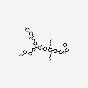 C/C=C/c1cccc(-c2cccc(-c3ccc(N(c4ccc(-c5ccc6c(c5)C(C)(C)c5cc(-c7ccc(C)cc7)ccc5-6)cc4)c4ccc(-c5ccc(-c6cc(CCCCCC)c(-c7ccc(-c8ccc(N(C)c9cccc(-c%10ccccc%10)c9)cc8C)cc7)cc6CCCCCC)cc5)c(C)c4)cc3)c2)c1